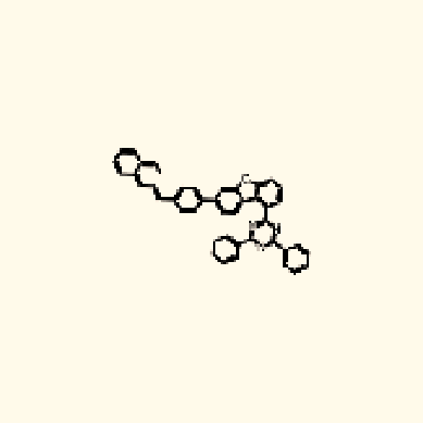 C/C=c1/cccc/c1=C/C=C/c1ccc(-c2ccc3c(c2)oc2cccc(-c4nc(C5=CCCC=C5)nc(-c5ccccc5)n4)c23)cc1